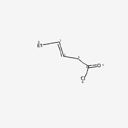 CCC=CCC(=O)Cl